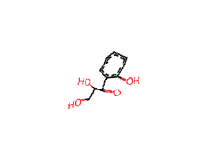 O=C(c1ccccc1O)C(O)CO